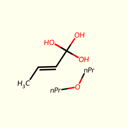 CC=CC(O)(O)O.CCCOCCC